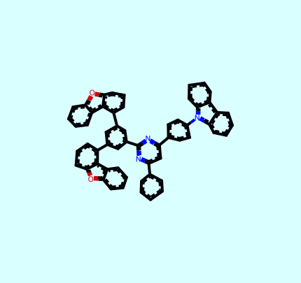 c1ccc(-c2cc(-c3ccc(-n4c5ccccc5c5ccccc54)cc3)nc(-c3cc(-c4cccc5oc6ccccc6c45)cc(-c4cccc5oc6ccccc6c45)c3)n2)cc1